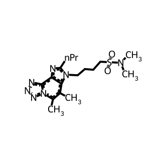 CCCc1nc2c(c(C)c(C)n3nnnc23)n1CCCCS(=O)(=O)N(C)C